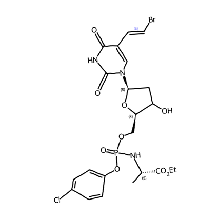 CCOC(=O)[C@H](C)NP(=O)(OC[C@H]1O[C@@H](n2cc(/C=C/Br)c(=O)[nH]c2=O)CC1O)Oc1ccc(Cl)cc1